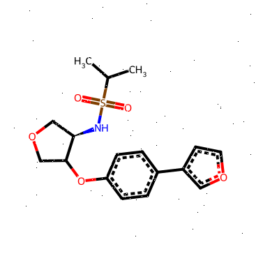 CC(C)S(=O)(=O)N[C@@H]1COCC1Oc1ccc(-c2ccoc2)cc1